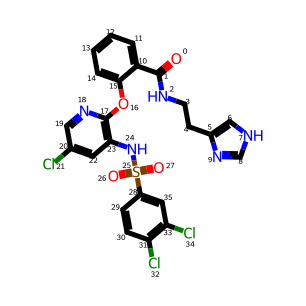 O=C(NCCc1c[nH]cn1)c1ccccc1Oc1ncc(Cl)cc1NS(=O)(=O)c1ccc(Cl)c(Cl)c1